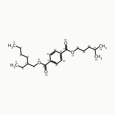 CCCCC(CC)COC(=O)c1ccc(C(=O)OCCCC(C)C)cc1